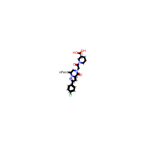 CCCCCC1CN(CC(=O)N2CCC[C@H](C(O)O)C2)C(=O)c2cc(-c3ccc(Cl)cc3)nn21